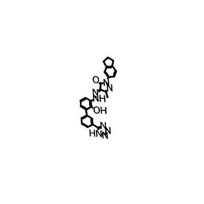 CC1=NN(c2ccc3c(c2)CCC3)C(=O)/C1=N/Nc1cccc(-c2cccc(-c3nnn[nH]3)c2)c1O